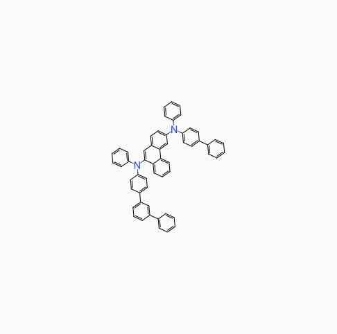 c1ccc(-c2ccc(N(c3ccccc3)c3ccc4cc(N(c5ccccc5)c5ccc(-c6cccc(-c7ccccc7)c6)cc5)c5ccccc5c4c3)cc2)cc1